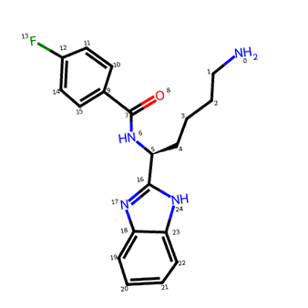 NCCCC[C@H](NC(=O)c1ccc(F)cc1)c1nc2ccccc2[nH]1